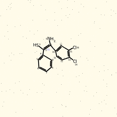 N/C(=C(\S)c1ccccc1)c1ccc(Cl)c(Cl)c1